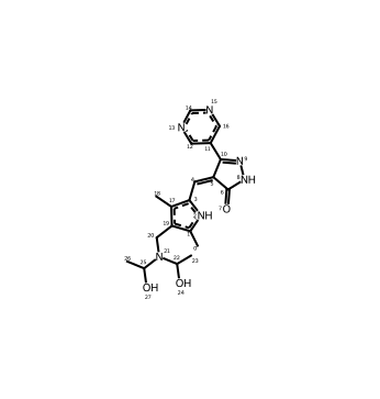 Cc1[nH]c(C=C2C(=O)NN=C2c2cncnc2)c(C)c1CN(C(C)O)C(C)O